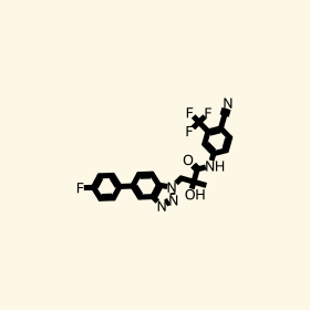 CC(O)(Cn1nnc2cc(-c3ccc(F)cc3)ccc21)C(=O)Nc1ccc(C#N)c(C(F)(F)F)c1